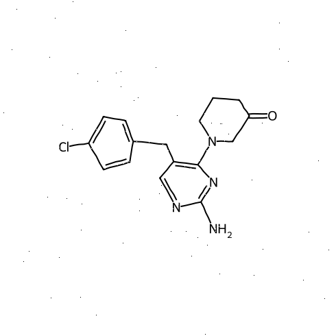 Nc1ncc(Cc2ccc(Cl)cc2)c(N2CCCC(=O)C2)n1